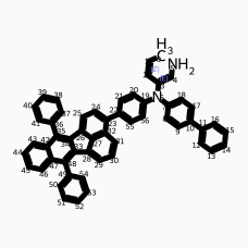 C/C=C\C(=C/N)N(c1ccc(-c2ccccc2)cc1)c1ccc(-c2ccc3c4c(cccc24)-c2c-3c(-c3ccccc3)c3ccccc3c2-c2ccccc2)cc1